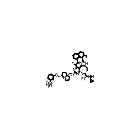 C#Cc1c(F)ccc2cccc(-c3nc4c5c(nc(OC[C@@]67CCCN6[C@H](COc6cccc(S(F)(F)(F)(F)F)c6)CC7)nc5c3F)N[C@@H]([C@H](CC)NC3CC3)CCC4)c12